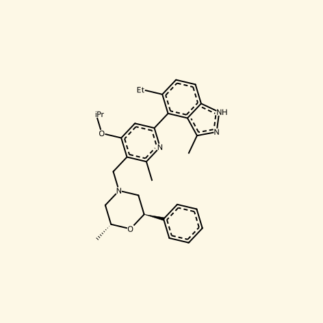 CCc1ccc2[nH]nc(C)c2c1-c1cc(OC(C)C)c(CN2C[C@@H](C)O[C@H](c3ccccc3)C2)c(C)n1